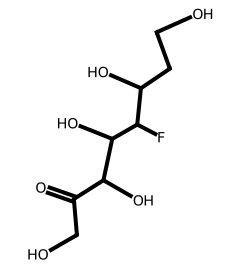 O=C(CO)C(O)C(O)C(F)C(O)CCO